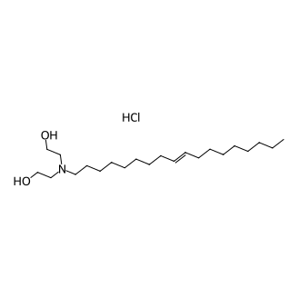 CCCCCCCCC=CCCCCCCCCN(CCO)CCO.Cl